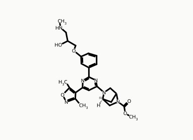 CNCC(O)COc1cccc(-c2nc(-c3c(C)noc3C)cc(N3CC4C[C@H]3CN4C(=O)OC)n2)c1